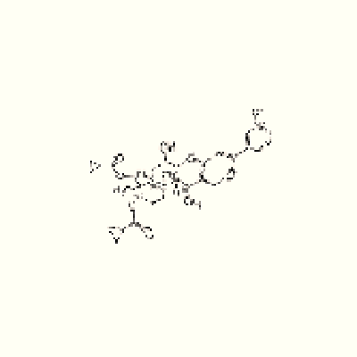 CC1(COC(=O)C2CC2)[C@@H](OC(=O)C2CC2)CC[C@]2(C)[C@@H]3C(OC4=C(COC(c5ccc[n+]([O-])c5)=C4)[C@@H]3O)C(O)C[C@@H]12